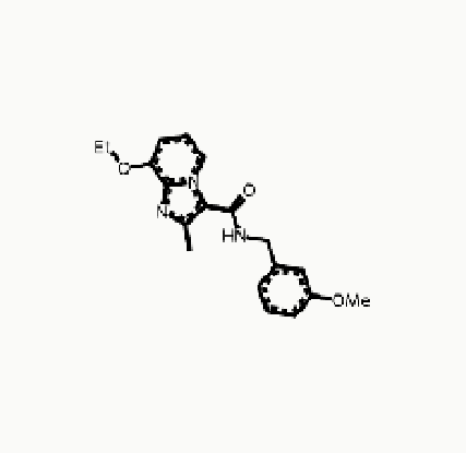 CCOc1cccn2c(C(=O)NCc3cccc(OC)c3)c(C)nc12